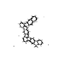 CC1(C)c2ccccc2-c2cc3c(cc21)c1cccc2c4cc5c6cccc7c8cc9ccccc9cc8n(c5cc4n3c12)c76